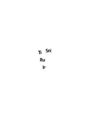 [Ir].[Ru].[Sn].[Ti]